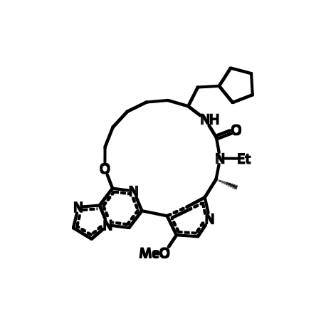 CCN1C(=O)NC(CC2CCCC2)CCCCCOc2nc(cn3ccnc23)-c2cc(ncc2OC)[C@H]1C